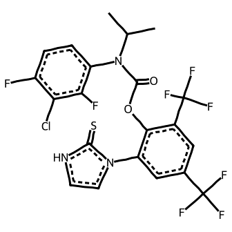 CC(C)N(C(=O)Oc1c(-n2cc[nH]c2=S)cc(C(F)(F)F)cc1C(F)(F)F)c1ccc(F)c(Cl)c1F